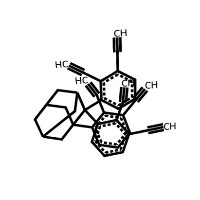 C#Cc1cccc(C23CC4CC(CC(C4)C2(c2cccc(C#C)c2C#C)c2cccc(C#C)c2C#C)C3)c1C#C